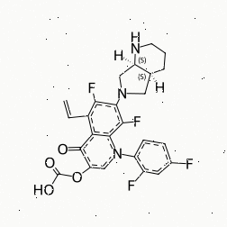 C=Cc1c(F)c(N2C[C@@H]3CCCN[C@@H]3C2)c(F)c2c1c(=O)c(OC(=O)O)cn2-c1ccc(F)cc1F